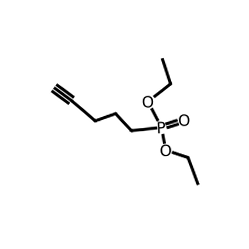 C#CCCCP(=O)(OCC)OCC